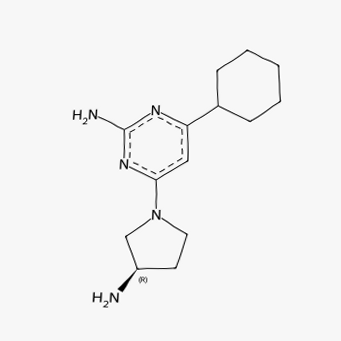 Nc1nc(C2CCCCC2)cc(N2CC[C@@H](N)C2)n1